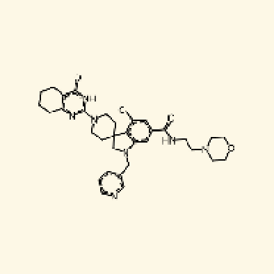 O=C(NCCN1CCOCC1)c1cc(Cl)c2c(c1)N(Cc1cccnc1)CC21CCN(c2nc3c(c(=O)[nH]2)CCCC3)CC1